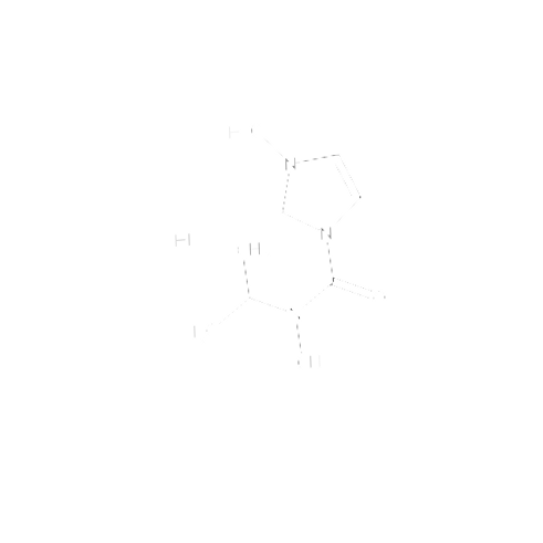 CC(C)N(C)C(=O)N1C=CN(C)C1.I